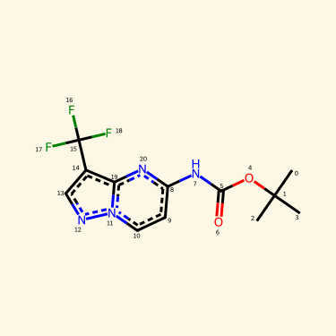 CC(C)(C)OC(=O)Nc1ccn2ncc(C(F)(F)F)c2n1